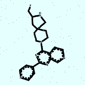 FCC1CC2(CCN(c3nc(-c4ccncc4)nc4cnccc34)CC2)CN1